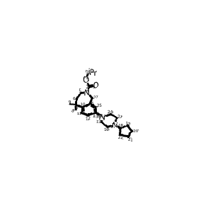 CC(C)OC(=O)N1CCC(C)(C)c2ccc(N3CCN(C4CCCC4)CC3)cc2C1